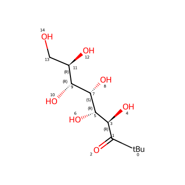 CC(C)(C)C(=O)[C@H](O)[C@H](O)[C@@H](O)[C@H](O)[C@H](O)CO